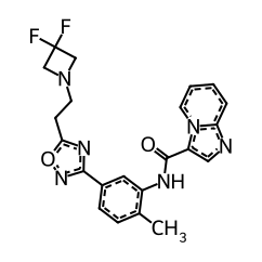 Cc1ccc(-c2noc(CCN3CC(F)(F)C3)n2)cc1NC(=O)c1cnc2ccccn12